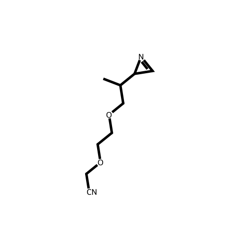 CC(COCCOCC#N)C1C=N1